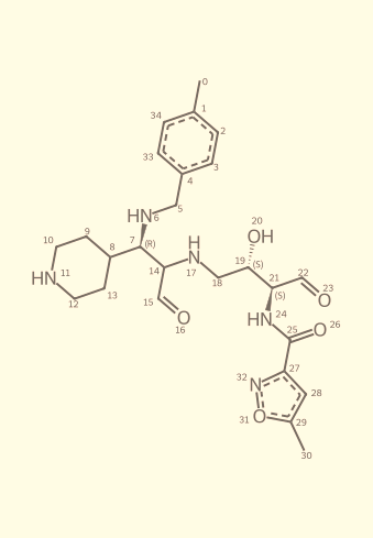 Cc1ccc(CN[C@H](C2CCNCC2)C(C=O)NC[C@H](O)[C@@H](C=O)NC(=O)c2cc(C)on2)cc1